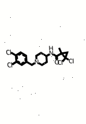 CC1(C(=O)NC2CCN(Cc3ccc(Cl)c(Cl)c3)CC2)CC1(Cl)Cl